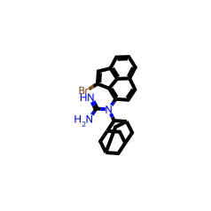 N=C(N)N(c1ccc2cccc3c2c1C(Br)=C3)C1C2CC3CC(C2)CC1C3